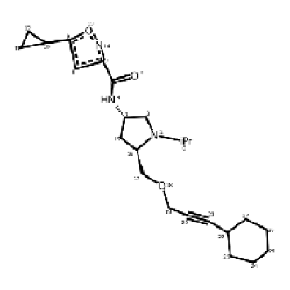 CC(C)N1C[C@@H](NC(=O)c2cc(C3CC3)on2)C[C@@H]1COCC#CC1CCCCC1